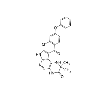 CC1(C)Nc2c(cnc3[nH]cc(C(=O)c4ccc(Oc5ccccc5)cc4Cl)c23)NC1=O